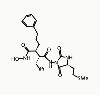 CSCC[C@@H]1NC(=O)N(NC(=O)[C@H](CC(C)C)[C@H](CCCc2ccccc2)C(=O)NO)C1=O